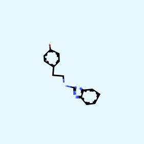 Brc1ccc(CCNc2nc3ccccc3[nH]2)cc1